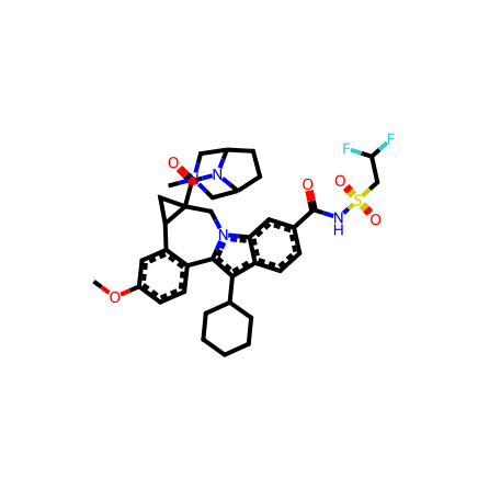 COc1ccc2c(c1)C1CC1(C(=O)N1C3CCC1CN(C)C3)Cn1c-2c(C2CCCCC2)c2ccc(C(=O)NS(=O)(=O)CC(F)F)cc21